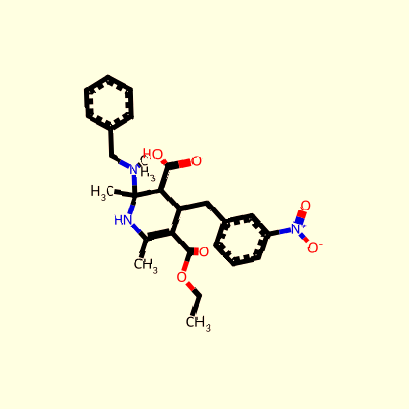 CCOC(=O)C1=C(C)NC(C)(N(C)Cc2ccccc2)C(C(=O)O)C1Cc1cccc([N+](=O)[O-])c1